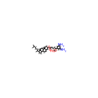 CC(C)CCCC(C)C1CCC2C3CCC4CC(OC(=O)CCCC(OO)c5cc(N)cc(N)c5)CCC4(C)C3CCC12C